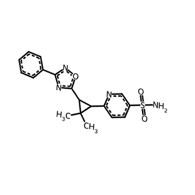 CC1(C)C(c2ccc(S(N)(=O)=O)cn2)C1c1nc(-c2ccccc2)no1